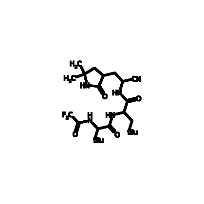 CC(C)(C)CC(NC(=O)C(NC(=O)C(F)(F)F)C(C)(C)C)C(=O)NC(C#N)CC1CC(C)(C)NC1=O